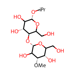 CO[C@@H]1C(O)[C@H](O[C@@H]2C(CO)O[C@@H](OC(C)C)C(O)[C@H]2O)OC(CO)[C@@H]1O